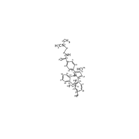 CN(C)CCNC(=O)c1ccc(-c2ccc(-c3ccc(F)cc3)n2-c2ccccc2C(F)(F)F)cc1.Cl